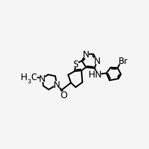 CN1CCN(C(=O)C2CCc3c(sc4ncnc(Nc5cccc(Br)c5)c34)C2)CC1